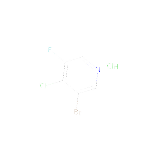 Cl.Fc1cncc(Br)c1Cl